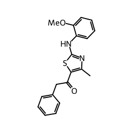 COc1ccccc1Nc1nc(C)c(C(=O)Cc2ccccc2)s1